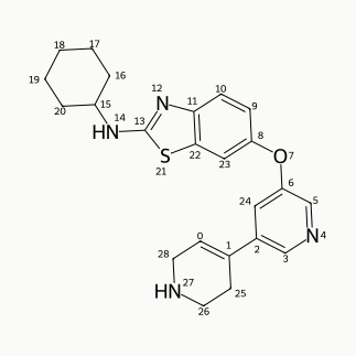 C1=C(c2cncc(Oc3ccc4nc(NC5CCCCC5)sc4c3)c2)CCNC1